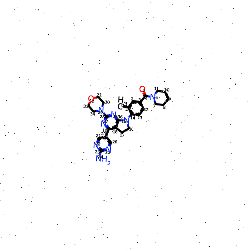 Cc1cc(C(=O)N2CCCCC2)ccc1N1CCc2c(-c3cnc(N)nc3)nc(N3CCOCC3)nc21